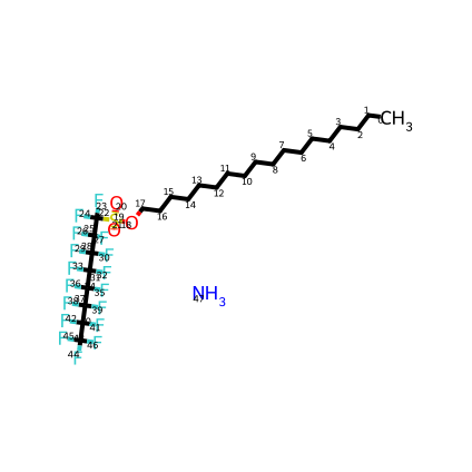 CCCCCCCCCCCCCCCCCCOS(=O)(=O)C(F)(F)C(F)(F)C(F)(F)C(F)(F)C(F)(F)C(F)(F)C(F)(F)C(F)(F)F.N